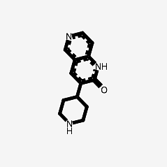 O=c1[nH]c2ccncc2cc1C1CCNCC1